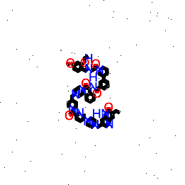 CCOc1cc(OC)ccc1CNCC(=O)N1CCCC(c2cccc(C(=O)N[C@@H](C(=O)N3CCN(CC4CCN(C(=O)c5ccc(N6CCN(Cc7cnc8cc(CC)c(=O)[nH]c8c7)CC6)cn5)CC4)CC3)C3CCCCC3)c2)C1